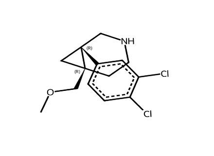 COC[C@]12CCNC[C@@]1(c1ccc(Cl)c(Cl)c1)C2